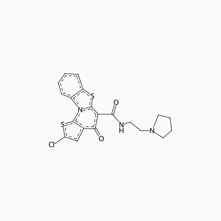 O=C(NCCN1CCCC1)c1c(=O)c2cc(Cl)sc2n2c1sc1ccccc12